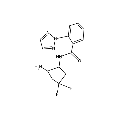 NC1CC(F)(F)CC1NC(=O)c1ccccc1-n1nccn1